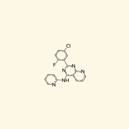 Fc1ccc(Cl)cc1-c1nc(Nc2ccccn2)c2cccnc2n1